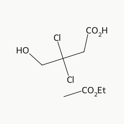 CCOC(C)=O.O=C(O)CC(Cl)(Cl)CO